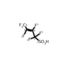 O=S(=O)(O)C(F)(F)/C(F)=C(\F)C(F)(F)F